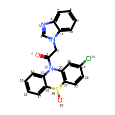 O=C(Cn1cnc2ccccc21)N1c2ccccc2[S+]([O-])c2ccc(Cl)cc21